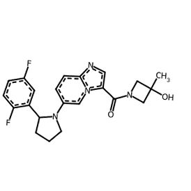 CC1(O)CN(C(=O)c2cnc3ccc(N4CCCC4c4cc(F)ccc4F)cn23)C1